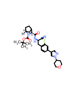 CC(C)(C)OC(=O)N1[C@@H]2CCC(C2)[C@H]1C(=O)NC(C#N)Cc1ccc(-c2cnn(C3CCOCC3)c2)cc1F